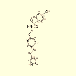 O=S(=O)(NCCc1ccc(CCn2ccnc2)cc1)c1ccc(Cl)cc1